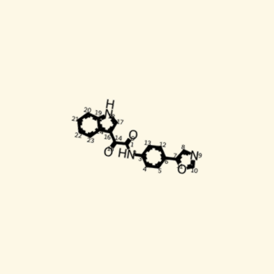 O=C(Nc1ccc(-c2cnco2)cc1)C(=O)c1c[nH]c2ccccc12